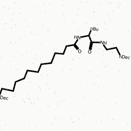 CCCCCCCCCCCCCCCCCCCCCC(=O)NC(CCCC)C(=O)NCCCCCCCCCCCC